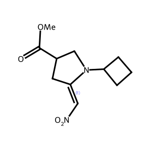 COC(=O)C1C/C(=C\[N+](=O)[O-])N(C2CCC2)C1